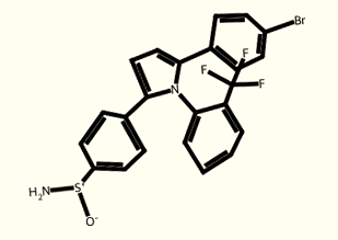 N[S+]([O-])c1ccc(-c2ccc(-c3ccc(Br)cc3)n2-c2ccccc2C(F)(F)F)cc1